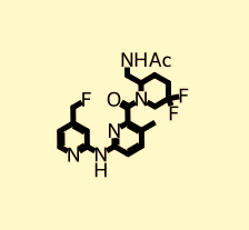 CC(=O)NCC1CCC(F)(F)CN1C(=O)c1nc(Nc2cc(CF)ccn2)ccc1C